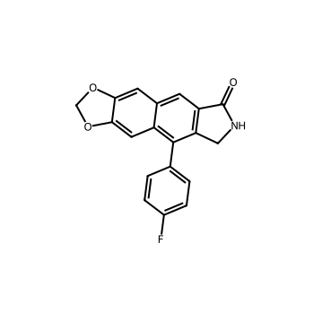 O=C1NCc2c1cc1cc3c(cc1c2-c1ccc(F)cc1)OCO3